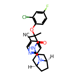 CC(C)(Oc1ccc(F)cc1Cl)C(=O)N[C@H]1C[C@H]2CC[C@@H](C1)N2c1ccc(C#N)cn1